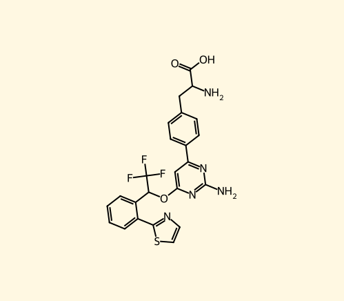 Nc1nc(OC(c2ccccc2-c2nccs2)C(F)(F)F)cc(-c2ccc(CC(N)C(=O)O)cc2)n1